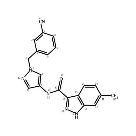 N#Cc1cccc(Cn2cc(NC(=O)c3n[nH]c4cc(C(F)(F)F)ccc34)cn2)c1